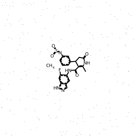 C.CC1=C(C(=O)Nc2cc3cn[nH]c3cc2F)C(c2cccc(N=S(=O)=O)c2)CC(=O)N1